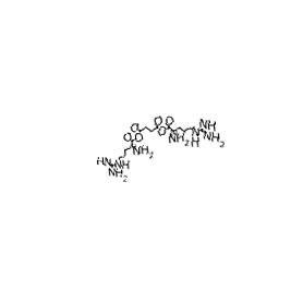 N=C(N)NCCC[C@H](N)C(=O)OC(=O)CCC(=O)OC(=O)[C@@H](N)CCCNC(=N)N